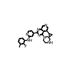 Cc1cccc(Nc2cc(-c3nc(N4CCNCC4)c4c(C5CC5)cncc4n3)ccn2)c1F